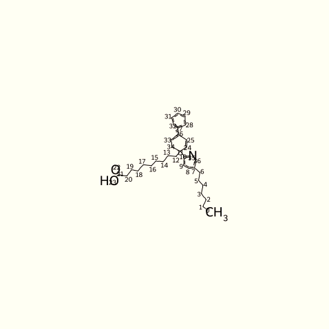 CCCCCCCc1ccc(C2(CCCCCCCCCC(=O)O)C=CC(c3ccccc3)=CC2)nc1